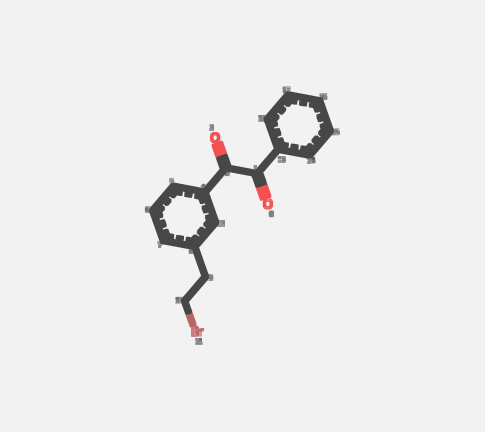 O=C(C(=O)c1cccc(CCBr)c1)c1ccccc1